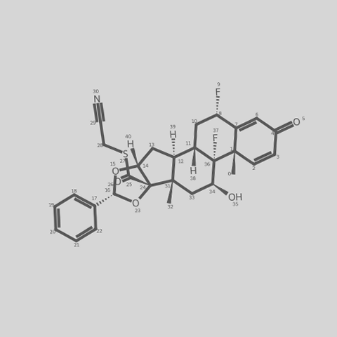 C[C@]12C=CC(=O)C=C1[C@@H](F)C[C@H]1[C@@H]3C[C@H]4O[C@@H](c5ccccc5)O[C@@]4(C(=O)SCC#N)[C@@]3(C)C[C@H](O)[C@@]12F